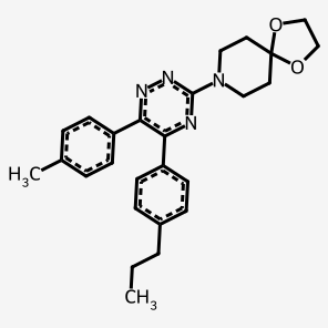 CCCc1ccc(-c2nc(N3CCC4(CC3)OCCO4)nnc2-c2ccc(C)cc2)cc1